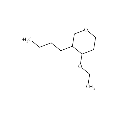 [CH2]CCCC1COCCC1OCC